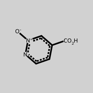 O=C(O)c1ccn[n+]([O-])c1